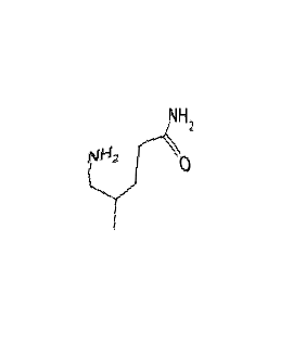 CC(CN)CCC(N)=O